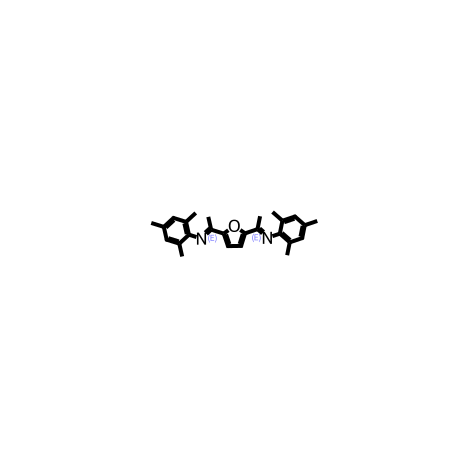 C/C(=N\c1c(C)cc(C)cc1C)c1ccc(/C(C)=N/c2c(C)cc(C)cc2C)o1